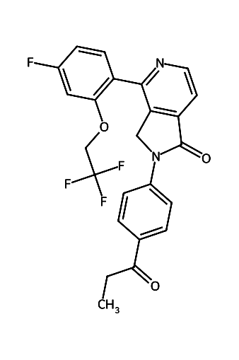 CCC(=O)c1ccc(N2Cc3c(ccnc3-c3ccc(F)cc3OCC(F)(F)F)C2=O)cc1